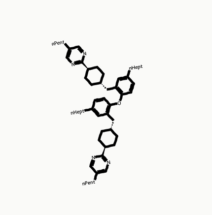 CCCCCCCc1ccc(Oc2ccc(CCCCCCC)cc2C[C@H]2CC[C@H](c3ncc(CCCCC)cn3)CC2)c(C[C@H]2CC[C@H](c3ncc(CCCCC)cn3)CC2)c1